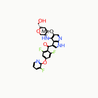 COc1cnc2[nH]cc(C(=O)c3c(F)cc(Oc4ncccc4F)cc3F)c2c1N[C@@H]1CC[C@@H](CO)OC1